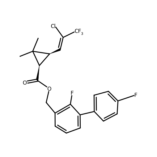 CC1(C)[C@H](C(=O)OCc2cccc(-c3ccc(F)cc3)c2F)[C@@H]1/C=C(\Cl)C(F)(F)F